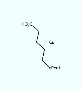 CCCCCCCCCC(=O)O.[Cu]